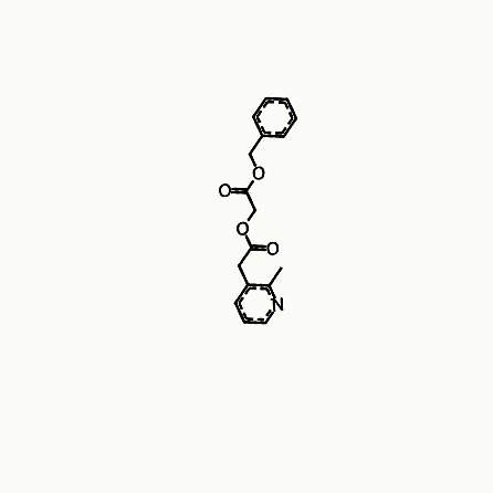 Cc1ncccc1CC(=O)OCC(=O)OCc1ccccc1